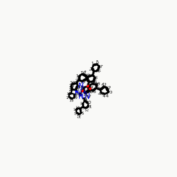 c1ccc(-c2ccc(-c3ccccc3-n3c4ccccc4c4ccc5c6ccccc6n(-c6nc(-c7cccc(-c8ccccc8)c7)nc(-c7cccc(-c8ccccc8)c7)n6)c5c43)cc2)cc1